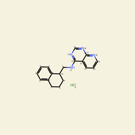 Cl.c1ccc2c(c1)CCCC2CNc1ncnc2ncccc12